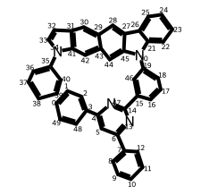 c1ccc(-c2cc(-c3ccccc3)nc(-c3cccc(-n4c5ccccc5c5cc6cc7ccn(-c8ccccc8)c7cc6cc54)c3)n2)cc1